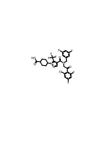 O=C(CN(Cc1cc(F)cc(F)c1)C(=O)c1cnn(C2CCC(C(=O)O)CC2)c1C(F)(F)F)c1c(F)cc(F)cc1Cl